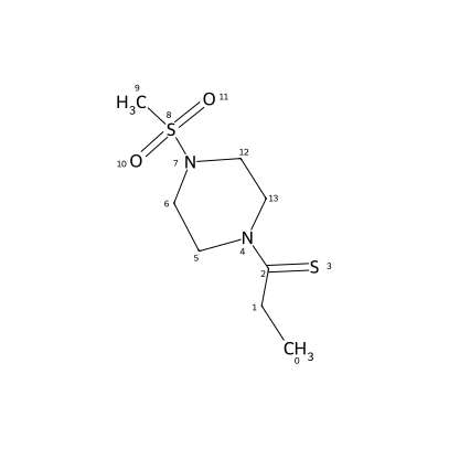 CCC(=S)N1CCN(S(C)(=O)=O)CC1